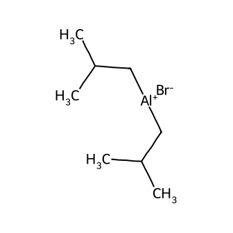 CC(C)[CH2][Al+][CH2]C(C)C.[Br-]